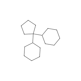 C1CCC(C2(C3CCCCC3)CCCC2)CC1